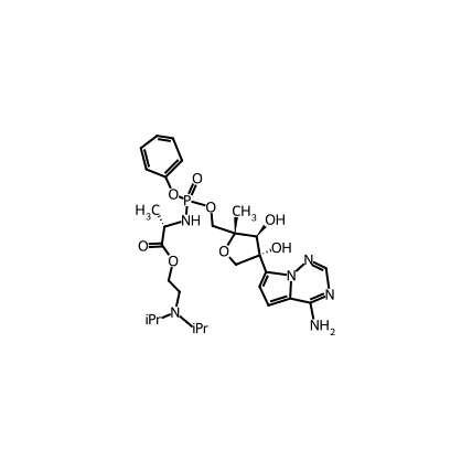 CC(C)N(CCOC(=O)[C@H](C)NP(=O)(OC[C@@]1(C)OC[C@](O)(c2ccc3c(N)ncnn23)[C@@H]1O)Oc1ccccc1)C(C)C